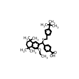 CCOc1cc2c(cc1C(SCc1ccc(C(C)(C)C)cc1)c1ccc(C(=O)O)cc1)C(C)(C)CCC2(C)C